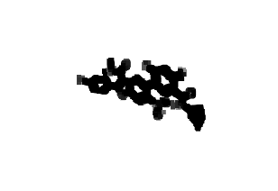 CNC(=O)c1c(-c2ccc(F)cc2)oc2cc([N+](=O)[O-])c(-c3cc(C(=O)NC4=C5CC5C4)c(F)cc3F)cc12